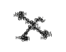 C/C=C\OCC(C)(C)CC(C)(C)CNC(=O)CCCC(=O)NC(CCC(=O)NCCOCCOCCOC1OC(CO)C(O)C(O)C1NC(C)=O)(CCC(=O)NCCOCCOCCOC1OC(CO)C(O)C(O)C1NC(C)=O)CCC(=O)NCCOCCOCCOC1OC(CO)C(O)C(O)C1NC(C)=O